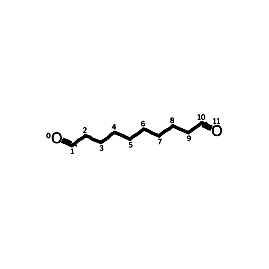 O=[C]CCCCCCCC[C]=O